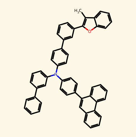 Cc1c(-c2cccc(-c3ccc(N(c4ccc(-c5cc6ccccc6c6ccccc56)cc4)c4cccc(-c5ccccc5)c4)cc3)c2)oc2ccccc12